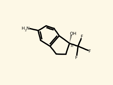 Nc1ccc2c(c1)CC[C@]2(O)C(F)(F)F